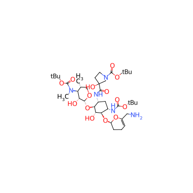 C[C@@H]1CO[C@H](O[C@@H]2[C@@H](O)[C@H](O[C@@H]3CCC=C(CN)O3)[C@@H](NC(=O)OC(C)(C)C)C[C@H]2NC(=O)C2(O)CCN(C(=O)OC(C)(C)C)C2)[C@H](O)[C@H]1N(C)C(=O)OC(C)(C)C